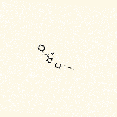 O=P(O)(O)COC[C@H]1O[C@@H](n2ccc3c(Nc4ccccc4)nc(Cl)nc32)[C@H](O)[C@@H]1O